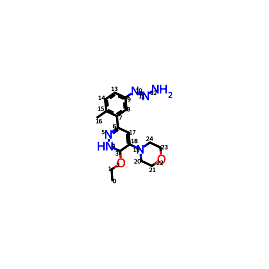 CCOC1NN=C(c2cc(N=NN)ccc2C)C=C1N1CCOCC1